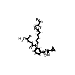 C=C(F)CCC(=O)N(CCCCCc1noc(C(F)F)n1)c1cccc(-c2nc(C3CC3)no2)c1